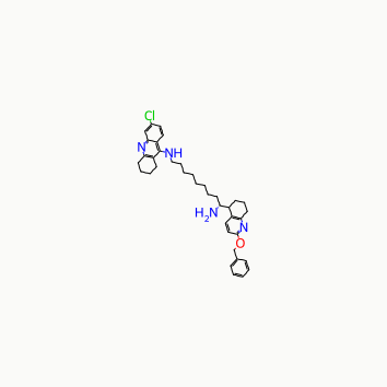 N[C@H](CCCCCCCCNc1c2c(nc3cc(Cl)ccc13)CCCC2)C1CCCc2nc(OCc3ccccc3)ccc21